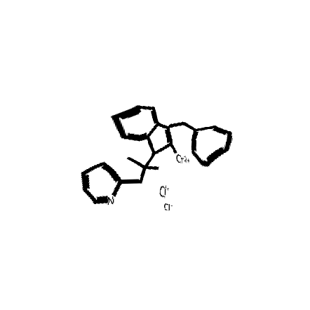 CC(C)(Cc1ccccn1)C1[C]([Cr+2])=C(Cc2ccccc2)c2ccccc21.[Cl-].[Cl-]